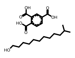 CC(C)CCCCCCCCCCO.O=C(O)c1ccc(C(=O)O)c(C(=O)O)c1